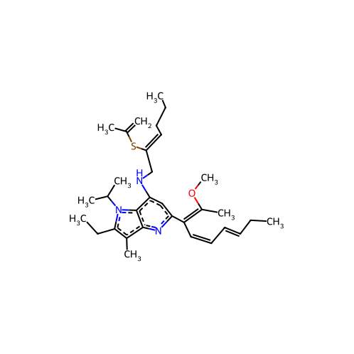 C=C(C)S/C(=C\CCC)CNc1cc(C(/C=C\C=C\CC)=C(/C)OC)nc2c(C)c(CC)n(C(C)C)c12